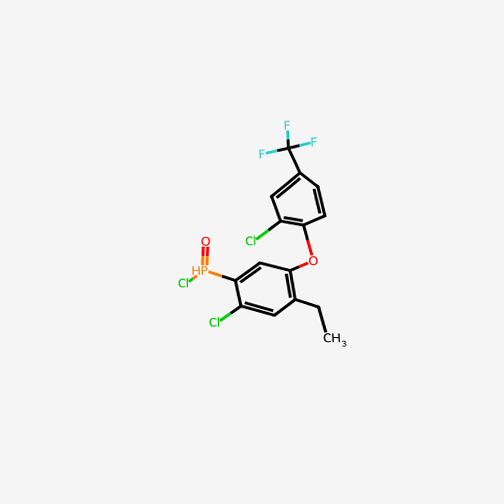 CCc1cc(Cl)c([PH](=O)Cl)cc1Oc1ccc(C(F)(F)F)cc1Cl